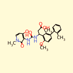 COc1ccc(-c2ccccc2C)c(C)c1C(CC(=O)O)NC(=O)Nc1c(O)ccn(C)c1=O